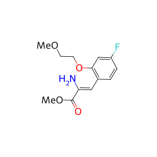 COCCOc1cc(F)ccc1/C=C(\N)C(=O)OC